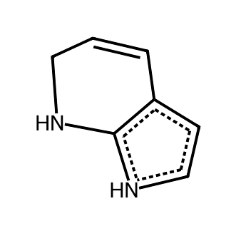 C1=Cc2cc[nH]c2NC1